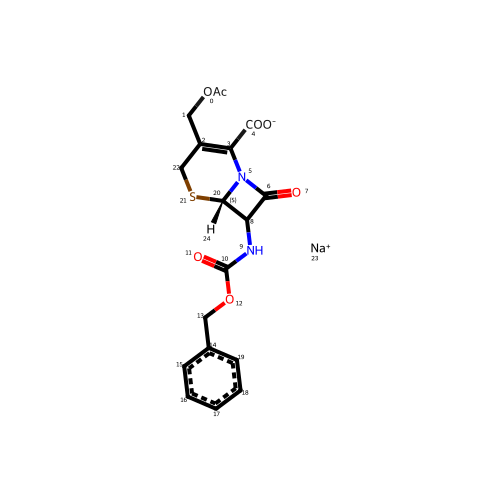 CC(=O)OCC1=C(C(=O)[O-])N2C(=O)C(NC(=O)OCc3ccccc3)[C@@H]2SC1.[Na+]